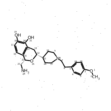 COc1ccc(CCN2CCC([C@H]3Cc4c(ccc(O)c4O)[C@@H](CN)O3)CC2)cc1